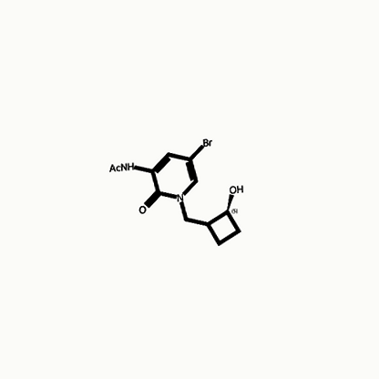 CC(=O)Nc1cc(Br)cn(CC2CC[C@@H]2O)c1=O